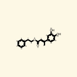 C/C(=C\C(=O)OCCc1ccccc1)c1ccc(O)c(O)c1